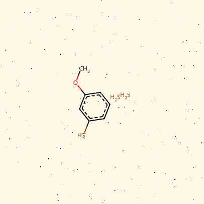 COc1cccc(S)c1.S.S